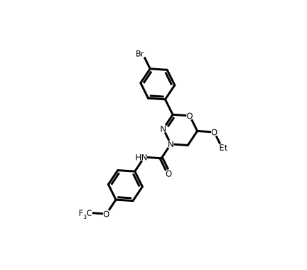 CCOC1CN(C(=O)Nc2ccc(OC(F)(F)F)cc2)N=C(c2ccc(Br)cc2)O1